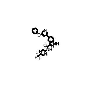 O=C(Nc1cnc(C(F)(F)F)cn1)c1n[nH]c2ccc(-c3cncc(Oc4ccccc4)c3)cc12